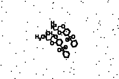 CN(C)CC1COc2ccc(S(=O)(=O)c3ccccc3)cc2O1.NCC1COc2ccc(S(=O)(=O)c3ccccc3)cc2O1